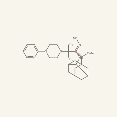 COC(=O)C12CC3CC(C1)C(N/C(=N/C#N)C(C)(C)N1CCN(c4ccccn4)CC1)C(C3)C2